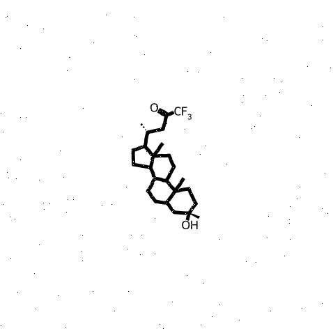 C[C@H](CC(=O)C(F)(F)F)C1CCC2C3CCC4C[C@@](C)(O)CCC4(C)C3CCC21C